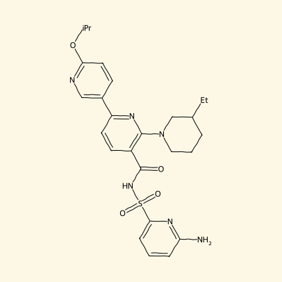 CCC1CCCN(c2nc(-c3ccc(OC(C)C)nc3)ccc2C(=O)NS(=O)(=O)c2cccc(N)n2)C1